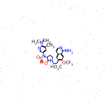 Cc1cc(N([C@H]2CCN([C@H](Cc3cc4ccnc(N)c4cc3OC(F)(F)F)C(=O)O)C2=O)[SH](=O)=O)cnc1N(C)C